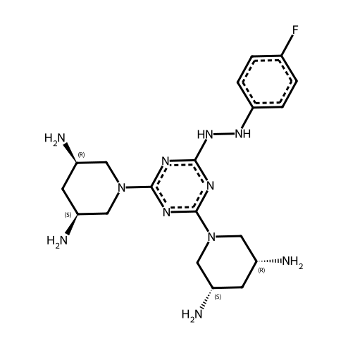 N[C@@H]1C[C@H](N)CN(c2nc(NNc3ccc(F)cc3)nc(N3C[C@H](N)C[C@H](N)C3)n2)C1